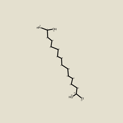 CCCC(O)CCCCCCCCCCCCC(O)CC